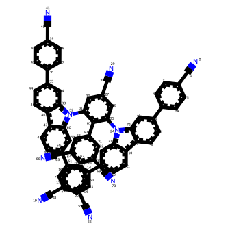 N#Cc1ccc(-c2ccc3c4ccc(-c5ccc(C#N)cc5)cc4n(-c4cc(C#N)cc(-n5c6cc(-c7ccc(C#N)cc7)ccc6c6ccc(-c7ccc(C#N)cc7)cc65)c4-c4cc(C#N)cc(C#N)c4)c3c2)cc1